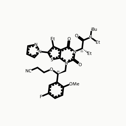 CCc1c(-n2cccn2)sc2c1c(=O)n([C@@H](CC)C(=O)N(CC)C(C)CC)c(=O)n2C[C@H](OCCC#N)c1cc(F)ccc1OC